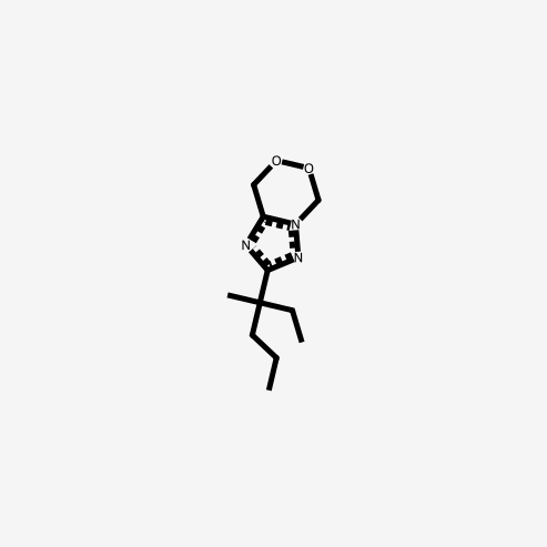 CCCC(C)(CC)c1nc2n(n1)COOC2